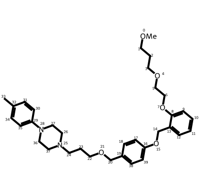 COCCCOCCOc1ccccc1COc1ccc(COCCCN2CCN(c3ccc(C)cc3)CC2)cc1